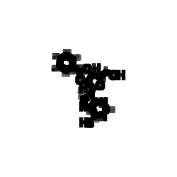 OCC1OC(n2cnc3c(S)ncnc32)[C@@H]2OC(c3ccccc3)O[C@H]12